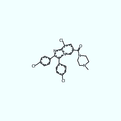 CN1CCN(C(=O)c2cc(Cl)c3nc(-c4ccc(Cl)cc4)c(-c4ccc(Cl)cc4)n3c2)CC1